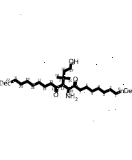 CCCCCCCCCCCCCCCCCC(=O)C(N)C(C(=O)CCCCCCCCCCCCCCCCC)C(C)(C)CCO